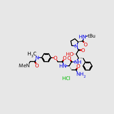 CNCC(=O)N(C)c1ccc(OCC(=O)N[C@@H](CC(N)=O)C(=O)N[C@@H](Cc2ccccc2)[C@H](O)C(=O)N2CCC[C@H]2C(=O)NC(C)(C)C)cc1.Cl